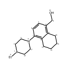 CCB1CCN(c2ccc(CO)c3c2CCCC3)CC1